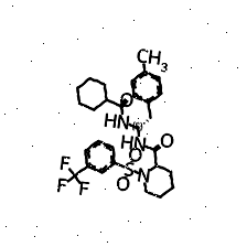 Cc1ccc(C[C@@H](NC(=O)C2CCCCC2)NC(=O)C2CCCCN2S(=O)(=O)c2cccc(C(F)(F)F)c2)cc1